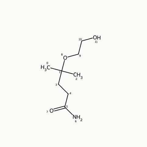 CC(C)(CCC(N)=O)OCCO